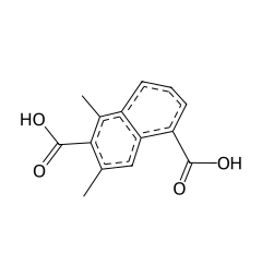 Cc1cc2c(C(=O)O)cccc2c(C)c1C(=O)O